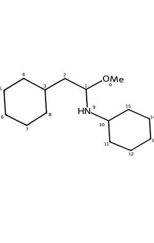 COC(CC1CCCCC1)NC1CCCCC1